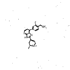 CC1CC(c2nc3c(-c4ccc(CN)c(F)c4)ccnc3[nH]2)=CCN1